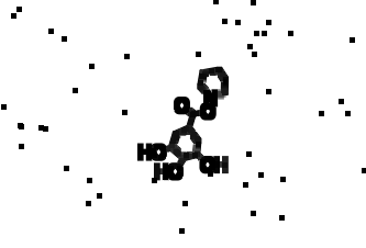 O=C(O[n+]1ccccc1)c1cc(O)c(O)c(O)c1